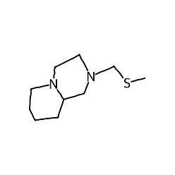 CSCN1CCN2CCCCC2C1